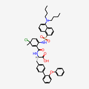 CCCCN(CCCC)c1cccc2c(S(=O)(=O)NC3=CCC(C)(Cl)C=C3C(=O)N[C@@H](Cc3ccc(-c4ccccc4Oc4ccccc4)cc3)C(=O)O)cccc12